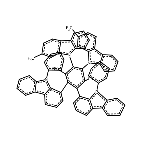 N#Cc1c(-c2cccc3c4ccccc4n(-c4ccccc4)c23)c(-c2cccc3c4ccccc4n(-c4ccccc4)c23)c(C#N)c(-n2c3ccccc3c3ccc(C(F)(F)F)cc32)c1-n1c2ccccc2c2ccc(C(F)(F)F)cc21